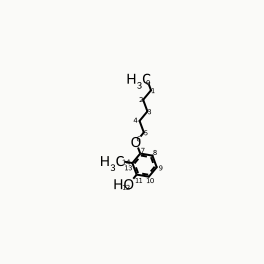 CCCCCCOc1cccc(O)c1C